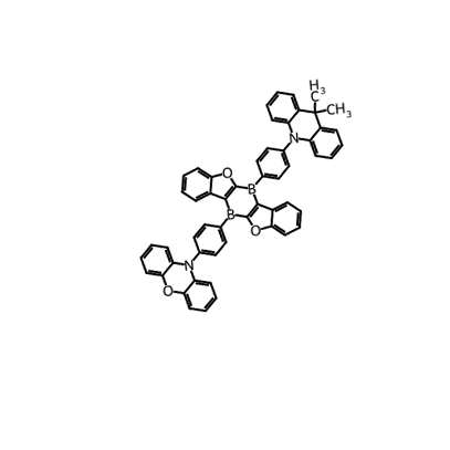 CC1(C)c2ccccc2N(c2ccc(B3c4oc5ccccc5c4B(c4ccc(N5c6ccccc6Oc6ccccc65)cc4)c4oc5ccccc5c43)cc2)c2ccccc21